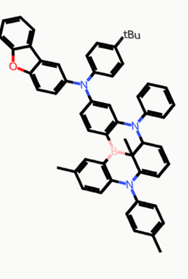 Cc1ccc(N2C3=CC=CC4N(c5ccccc5)c5cc(N(c6ccc(C(C)(C)C)cc6)c6ccc7oc8ccccc8c7c6)ccc5B(c5cc(C)ccc52)C34C)cc1